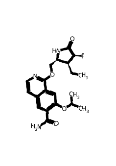 CC[C@@H]1[C@H](F)C(=O)N[C@@H]1COc1nccc2cc(C(N)=O)c(OC(C)C)cc12